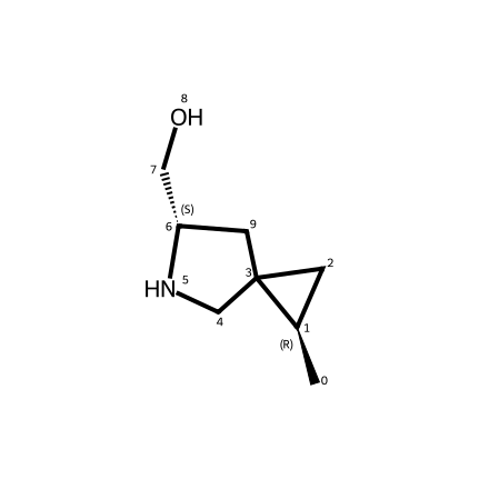 C[C@@H]1CC12CN[C@H](CO)C2